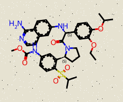 CCOc1cc([C@H](Nc2ccc3c(N)nccc3c2)C(=O)N2CCC[C@H]2c2cc(NC(=O)OC)ccc2S(=O)(=O)C(C)C)ccc1OC(C)C